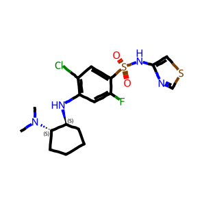 CN(C)[C@H]1CCCC[C@@H]1Nc1cc(F)c(S(=O)(=O)Nc2cscn2)cc1Cl